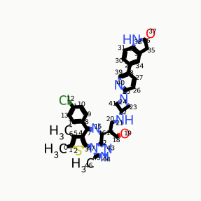 Cc1sc2c(c1C)C(c1ccc(Cl)cc1)=N[C@@H](C(C=O)CNC1CN(c3ccc(-c4ccc5c(c4)CC(=O)N5)cn3)C1)c1nnc(C)n1-2